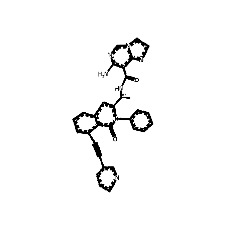 C[C@H](NC(=O)c1c(N)ncn2ccnc12)c1cc2cccc(C#Cc3cccnc3)c2c(=O)n1-c1ccccc1